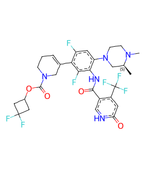 C[C@H]1CN(c2cc(F)c(C3=CCCN(C(=O)OC4CC(F)(F)C4)C3)c(F)c2NC(=O)c2c[nH]c(=O)cc2C(F)(F)F)CCN1C